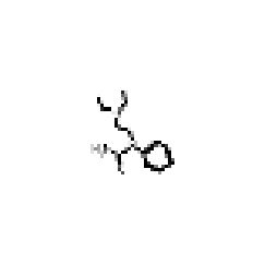 CCN(CC)CCN(C(N)=S)c1ccccc1